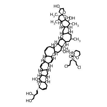 C[C@@H]1C[C@@H]2O[C@@H]3[C@@H](C)[C@H](O)[C@@H]4O[C@]5(C[C@H](O)CO5)[C@@H](C)[C@H](C)[C@H]4O[C@H]3C[C@H]2O[C@H]2C[C@H]3O[C@H]4C/C=C\C[C@H]5O[C@H]6C=C[C@H]7O[C@H]8[C@H](O)[C@H]9O[C@@H](/C=C/[C@H](O)CO)C=CC[C@@H]9O[C@@H]8C[C@@H]7O[C@@H]6C=C[C@@H]5O[C@@H]4C[C@@H](O)[C@]3(C)O[C@@H]2C1.O=P1(N(CCCl)CCCl)NCCCO1